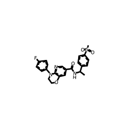 CC(NC(=O)c1cnc2c(c1)OCCN2c1ccc(F)cc1)c1ccc(S(C)(=O)=O)cc1